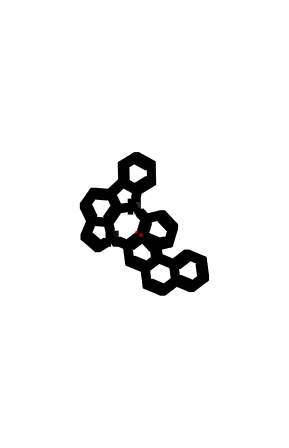 c1ccc(-n2c3ccccc3c3ccc4ccn(-c5ccc6c(ccc7ccccc76)c5)c4c32)cc1